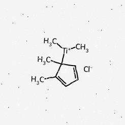 CC1=CC=C[C]1(C)[Ti+]([CH3])[CH3].[Cl-]